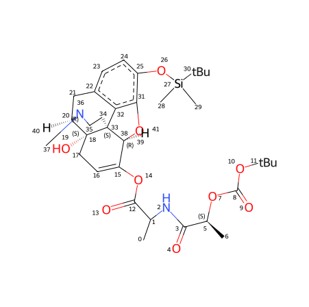 CC(NC(=O)[C@H](C)OC(=O)OC(C)(C)C)C(=O)OC1=CC[C@@]2(O)[C@H]3Cc4ccc(O[Si](C)(C)C(C)(C)C)c5c4[C@@]2(CCN3C)[C@H]1O5